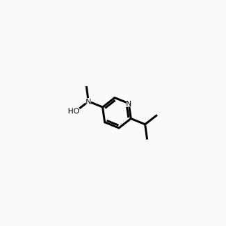 CC(C)c1ccc(N(C)O)cn1